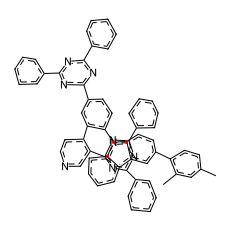 Cc1ccc(-c2ccc3c(c2)c2ccccc2n3-c2ccc(-c3nc(-c4ccccc4)nc(-c4ccccc4)n3)cc2-c2ccncc2-c2nc(-c3ccccc3)nc(-c3ccccc3)n2)c(C)c1